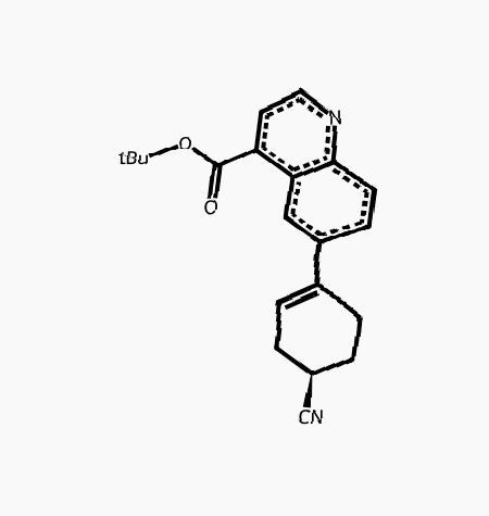 CC(C)(C)OC(=O)c1ccnc2ccc(C3=CC[C@H](C#N)CC3)cc12